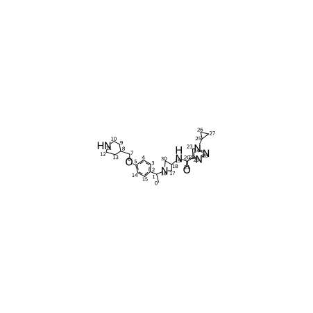 CC(c1ccc(OCC2CCNCC2)cc1)N1CC(NC(=O)c2cn(C3CC3)nn2)C1